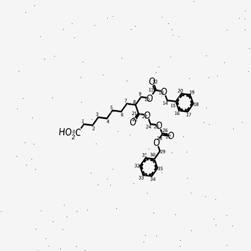 O=C(O)CCCCCCCC(COC(=O)OCc1ccccc1)C(=O)OCOC(=O)OCc1ccccc1